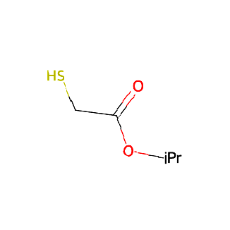 CC(C)OC(=O)CS